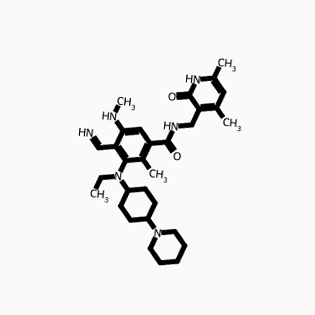 CCN(c1c(C)c(C(=O)NCc2c(C)cc(C)[nH]c2=O)cc(NC)c1C=N)C1CCC(N2CCCCC2)CC1